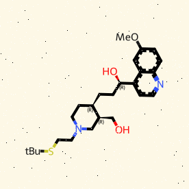 COc1ccc2nccc([C@H](O)CC[C@@H]3CCN(CCSC(C)(C)C)C[C@@H]3CO)c2c1